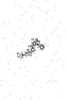 CN(C)[C@@H]1CCN(C(=O)Nc2cccc(Nc3cc(NCc4cccnc4)c(C(N)=O)cn3)c2)C1